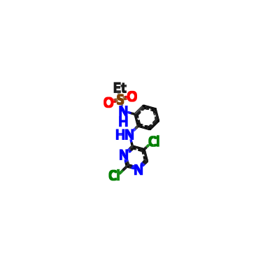 CCS(=O)(=O)Nc1ccccc1Nc1nc(Cl)ncc1Cl